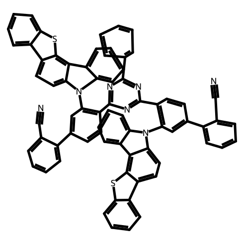 N#Cc1ccccc1-c1ccc(-c2nc(-c3ccccc3)nc(-c3ccc(-c4ccccc4C#N)cc3-n3c4ccccc4c4c5sc6ccccc6c5ccc43)n2)c(-n2c3ccccc3c3c4sc5ccccc5c4ccc32)c1